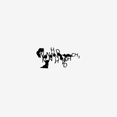 CCCCC[C@H](CN(O)C=O)C(=O)NNc1nc(C2CC2)nc(N2CCCC2)n1